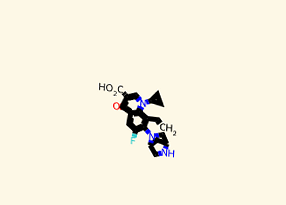 C=Cc1c(N2CC3CC2CN3)c(F)cc2c(=O)c(C(=O)O)cn(C3CC3)c12